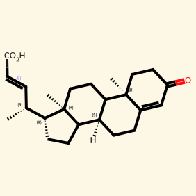 C[C@H](/C=C/C(=O)O)[C@H]1CCC2[C@@H]3CCC4=CC(=O)CC[C@]4(C)C3CC[C@@]21C